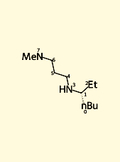 CCCC[C@@H](CC)NCCCNC